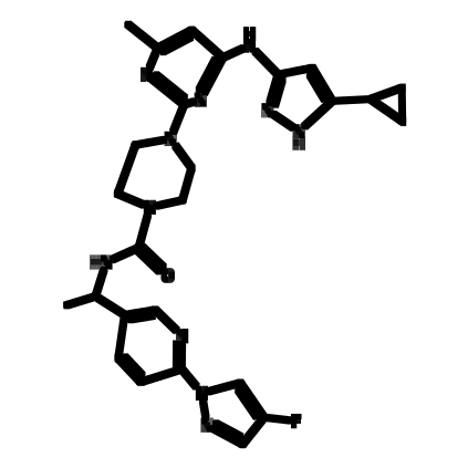 Cc1cc(Nc2cc(C3CC3)[nH]n2)nc(N2CCN(C(=O)NC(C)c3ccc(-n4cc(F)cn4)nc3)CC2)n1